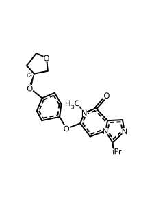 CC(C)c1ncc2c(=O)n(C)c(Oc3ccc(O[C@H]4CCOC4)cc3)cn12